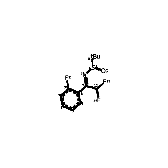 CC(C)(C)[S@@+]([O-])N=C(c1ccccc1F)C(F)F